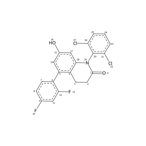 O=C1CCc2c(-c3ccc(F)cc3F)cc(O)cc2N1c1c(Cl)cccc1Cl